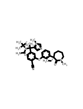 CC[C@]1(c2cccc(Oc3cc(C(C)(c4cncn4C)N(C(N)=O)C(C)(C)C)ccc3C#N)c2)CCCCN(C)C1=O